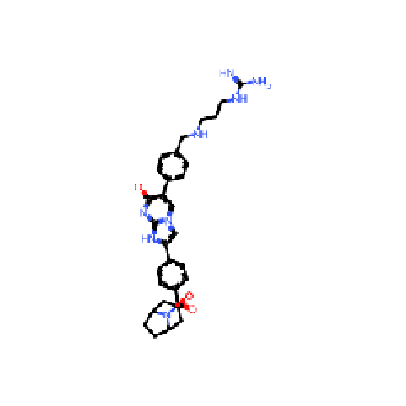 N=C(N)NCCCNCc1ccc(-c2cn3cc(-c4ccc(C(=O)N5C6CCC5CC(=O)C6)cc4)[nH]c3nc2=O)cc1